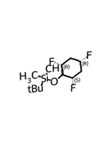 CC(C)(C)[Si](C)(C)OC1[C@H](F)C[C@H](F)C[C@@H]1F